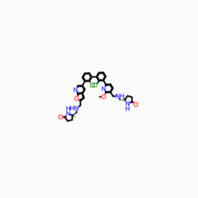 COc1nc(-c2cccc(-c3cccc(-c4cnc5oc(CNC[C@H]6CCC(=O)N6)cc5c4)c3Cl)c2Cl)ccc1CNC[C@@H]1CCC(=O)N1